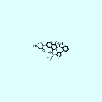 CNCc1ccccc1-c1csc([C@@H](C)Nc2nncc3ccc(N4CCNCC4=O)cc23)c1